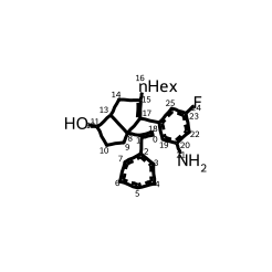 C=C(c1ccccc1)C12CCC(O)C1CC(CCCCCC)=C2c1cc(N)cc(F)c1